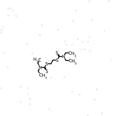 CCN(CC)C(=S)SCCSC(=S)N(CC)CC